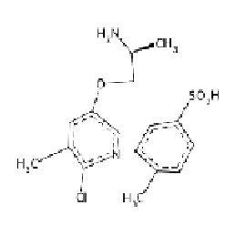 Cc1cc(OC[C@H](C)N)cnc1Cl.Cc1ccc(S(=O)(=O)O)cc1